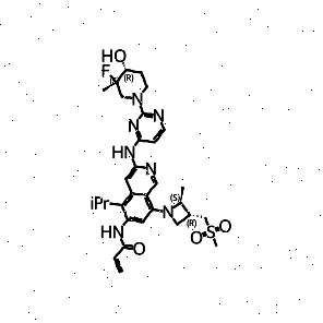 C=CC(=O)Nc1cc(N2C[C@@H](CS(C)(=O)=O)[C@@H]2C)c2cnc(Nc3ccnc(N4CC[C@@H](O)[C@@](C)(F)C4)n3)cc2c1C(C)C